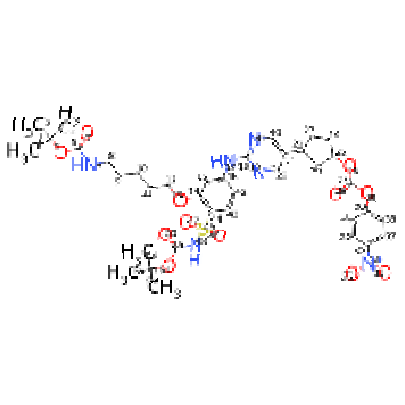 CC(C)(C)OC(=O)NCCCCCOc1cc(Nc2ncc(C3CCC(OC(=O)Oc4ccc([N+](=O)[O-])cc4)C3)cn2)ccc1S(=O)(=O)NC(=O)OC(C)(C)C